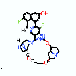 C#Cc1c(F)ccc2cc(O)cc(-c3ncc4c5nc(nc4c3F)OC[C@@]34CCCN3C[C@H](C4)OCCCOC[C@@]34CC[C@@H](CN5C3)N4)c12